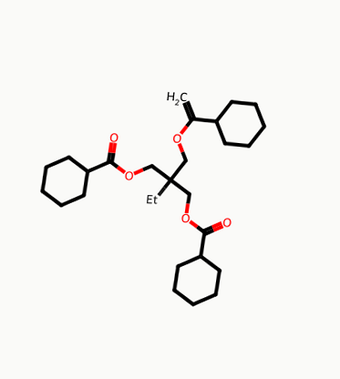 C=C(OCC(CC)(COC(=O)C1CCCCC1)COC(=O)C1CCCCC1)C1CCCCC1